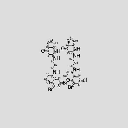 O=c1cc(NCCCNC2CCOc3c(Br)cc(Br)cc32)[nH]c2ccsc12.O=c1cc(NCCCNC2CCOc3c(Br)cc(Cl)cc32)[nH]c2ccsc12